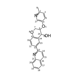 Cc1ccc(OC2COc3ccc(-c4ccc5ccccc5n4)cc3C2O)cn1